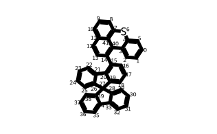 c1ccc2c(c1)Sc1cccc3ccc(-c4cccc5c4-c4ccccc4C54c5ccccc5-c5ccccc54)c-2c13